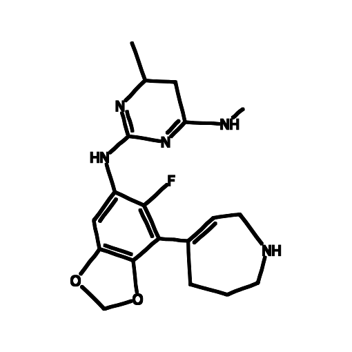 CNC1=NC(Nc2cc3c(c(C4=CCNCCC4)c2F)OCO3)=NC(C)C1